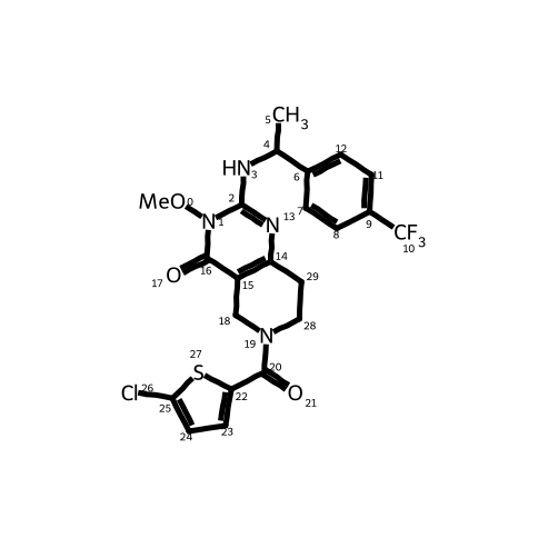 COn1c(NC(C)c2ccc(C(F)(F)F)cc2)nc2c(c1=O)CN(C(=O)c1ccc(Cl)s1)CC2